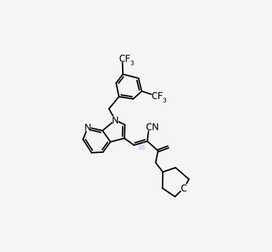 C=C(CC1CCCCC1)/C(C#N)=C/c1cn(Cc2cc(C(F)(F)F)cc(C(F)(F)F)c2)c2ncccc12